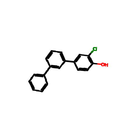 Oc1ccc(-c2cccc(-c3ccccc3)c2)cc1Cl